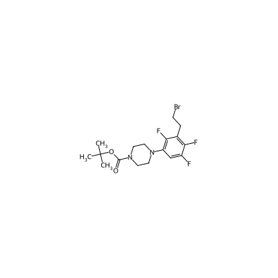 CC(C)(C)OC(=O)N1CCN(c2cc(F)c(F)c(CCBr)c2F)CC1